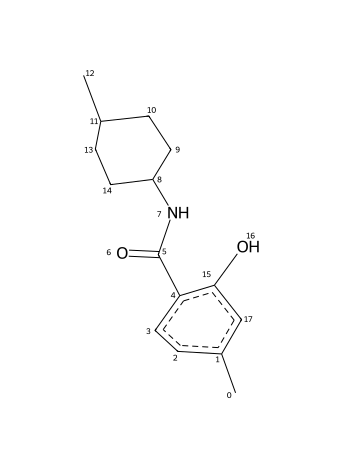 Cc1ccc(C(=O)NC2CCC(C)CC2)c(O)c1